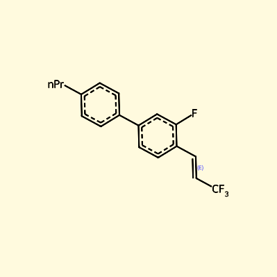 CCCc1ccc(-c2ccc(/C=C/C(F)(F)F)c(F)c2)cc1